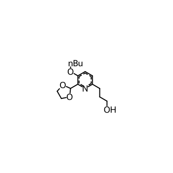 CCCCOc1ccc(CCCO)nc1C1OCCO1